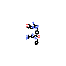 Cn1cc(-c2ccc(C(C(=O)NCc3ccccc3)[C@H]3CC[C@H](Cc4ncc(C#N)c(N5CCC6(CCOCC6)C5)n4)CC3)nc2)cn1